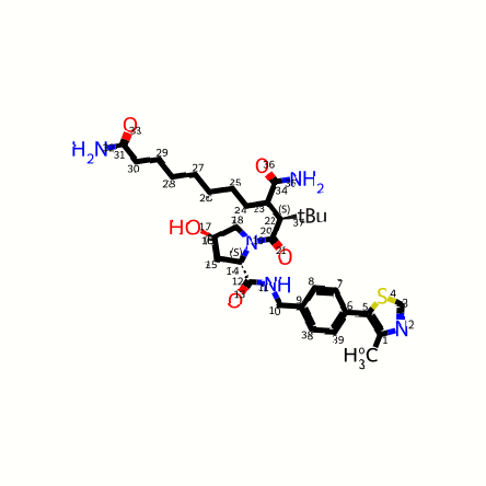 Cc1ncsc1-c1ccc(CNC(=O)[C@@H]2C[C@@H](O)CN2C(=O)[C@@H](C(CCCCCCCC(N)=O)C(N)=O)C(C)(C)C)cc1